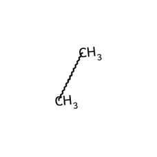 CCCCCCCCCCCC=CC=CCCCCCCCCCCCC